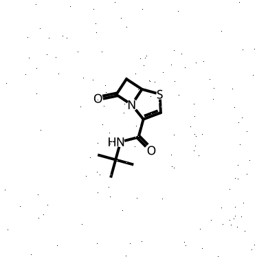 CC(C)(C)NC(=O)C1=CSC2CC(=O)N12